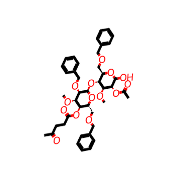 CO[C@@H]1[C@@H](OCc2ccccc2)[C@@H](O[C@H]2[C@H](OC)[C@@H](OC(C)=O)C(O)O[C@@H]2COCc2ccccc2)O[C@H](COCc2ccccc2)[C@H]1OC(=O)CCC(C)=O